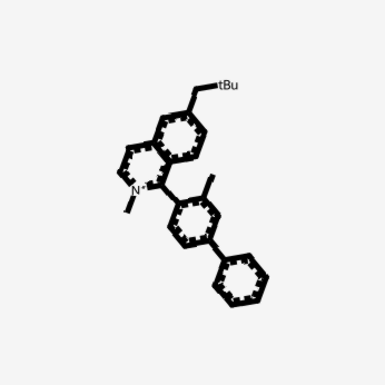 Cc1cc(-c2ccccc2)ccc1-c1c2ccc(CC(C)(C)C)cc2cc[n+]1C